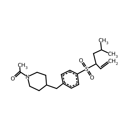 C=CC(CC(C)C)S(=O)(=O)c1ccc(CC2CCN(C(C)=O)CC2)cc1